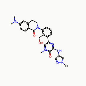 CCn1cc(Nc2nc(-c3cccc(N4CCc5cc(N(C)C)ccc5C4=O)c3CO)cn(C)c2=O)cn1